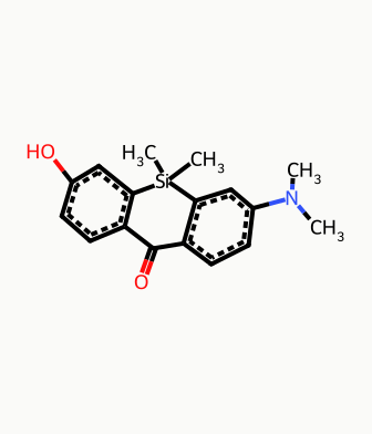 CN(C)c1ccc2c(c1)[Si](C)(C)c1cc(O)ccc1C2=O